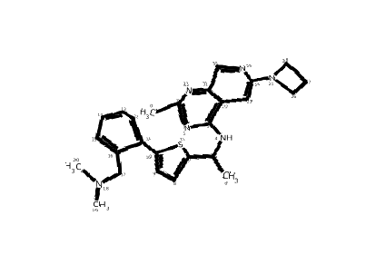 Cc1nc(NC(C)c2ccc(-c3ccccc3CN(C)C)s2)c2cc(N3CCC3)ncc2n1